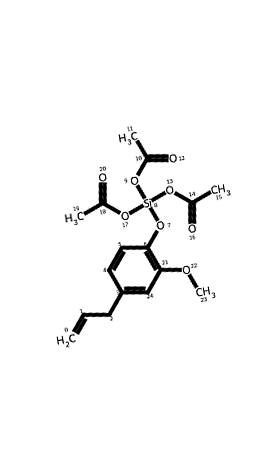 C=CCc1ccc(O[Si](OC(C)=O)(OC(C)=O)OC(C)=O)c(OC)c1